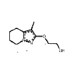 Cc1c(OCCO)nn2c1CCCC2